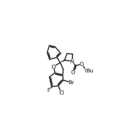 CC(C)(C)OC(=O)N1CCC1[C@@]1(c2ccccc2)Cc2c(cc(F)c(Cl)c2Br)O1